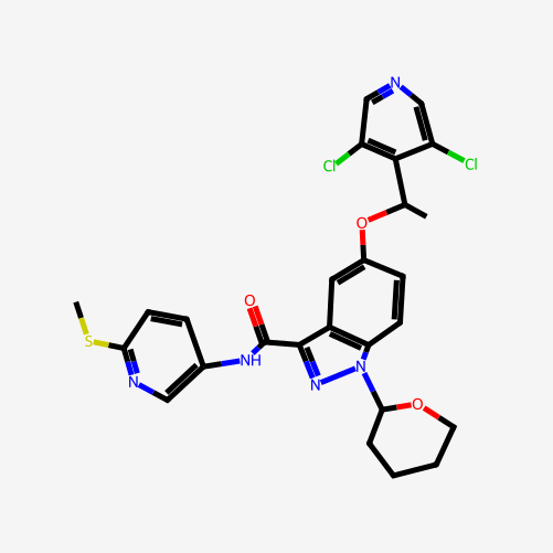 CSc1ccc(NC(=O)c2nn(C3CCCCO3)c3ccc(OC(C)c4c(Cl)cncc4Cl)cc23)cn1